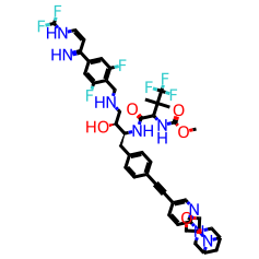 COC(=O)NC(C(=O)N[C@@H](Cc1ccc(C#Cc2ccc(N3CC4CC(C3)N4C3COC3)nc2)cc1)[C@@H](O)CNCc1c(F)cc(C(=N)/C=C\NC(F)F)cc1F)C(C)(C)C(F)(F)F